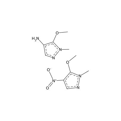 COc1c(N)cnn1C.COc1c([N+](=O)[O-])cnn1C